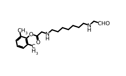 Cc1cccc(C)c1OC(=O)CNCCCCCCCNCC=O